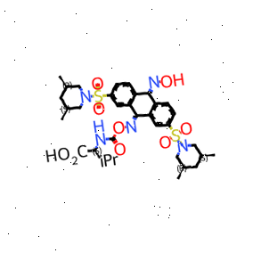 CC(C)[C@H](NC(=O)ON=C1c2cc(S(=O)(=O)N3C[C@H](C)C[C@H](C)C3)ccc2C(=NO)c2ccc(S(=O)(=O)N3C[C@H](C)C[C@H](C)C3)cc21)C(=O)O